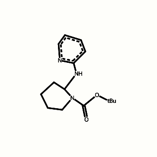 CC(C)(C)OC(=O)N1CCCCC1Nc1ccccn1